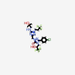 CC(C)(O)CNc1nc(Cn2nc(-c3ccc(Cl)cc3)n(C[C@H](O)C(F)(F)F)c2=O)nn1CCC(F)(F)F